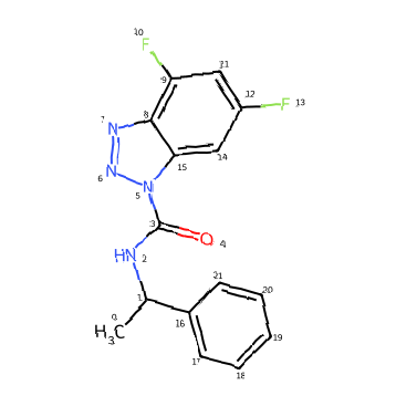 CC(NC(=O)n1nnc2c(F)cc(F)cc21)c1ccccc1